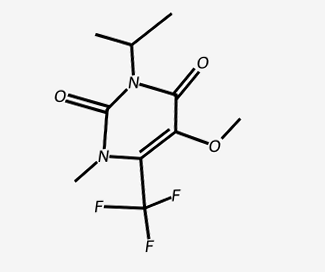 COc1c(C(F)(F)F)n(C)c(=O)n(C(C)C)c1=O